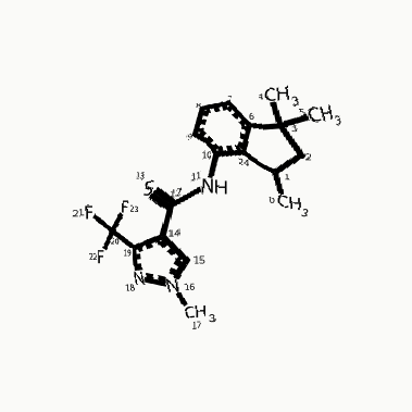 CC1CC(C)(C)c2cccc(NC(=S)c3cn(C)nc3C(F)(F)F)c21